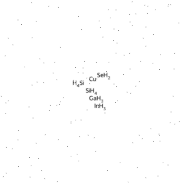 [Cu].[GaH3].[InH3].[SeH2].[SiH4].[SiH4]